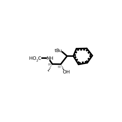 C[C@H](NC(=O)O)[C@@H](O)C(c1ccccc1)C(C)(C)C